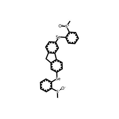 C[S+]([O-])c1ccccc1[Se]c1ccc2c(c1)Cc1ccc([Se]c3ccccc3[S+](C)[O-])cc1-2